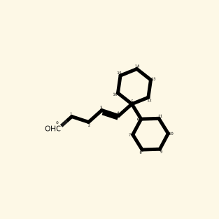 O=CCCC=CC1(C2CCCCC2)CCCCC1